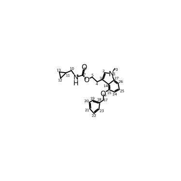 Cn1cc(CCOC(=O)NCC2CC2)c2c(OCc3ccccc3)cccc21